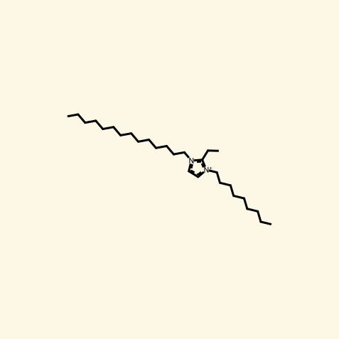 CCCCCCCCCCCCCCn1cc[n+](CCCCCCCCC)c1CC